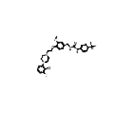 COc1cc(CNC(=O)Nc2ccc(C(F)(F)F)cc2)ccc1OCCN1CCN(c2cccc(Cl)c2Cl)CC1